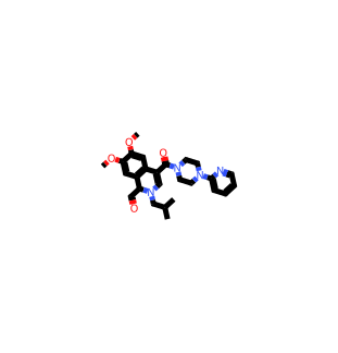 COc1cc2c(cc1OC)C(C=O)N(CC(C)C)C=C2C(=O)N1CCN(c2ccccn2)CC1